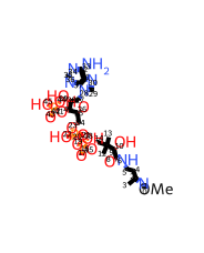 CO/N=C(\C)CCNC(=O)C(O)C(C)(C)COP(=O)(O)OP(=O)(O)OCC1OC(n2cnc3c(N)ncnc32)C(O)C1OP(=O)(O)O